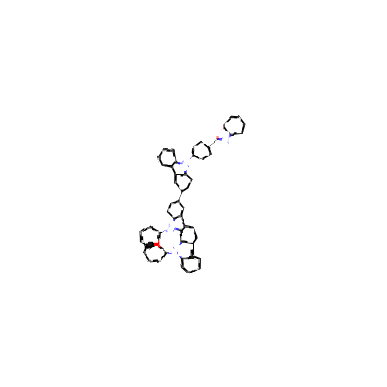 c1ccc(-n2c3ccccc3c3ccc4c5cc(-c6ccc7c(c6)c6ccccc6n7-c6ccc(-c7nc8ccccc8o7)cc6)ccc5n(-c5ccccc5)c4c32)cc1